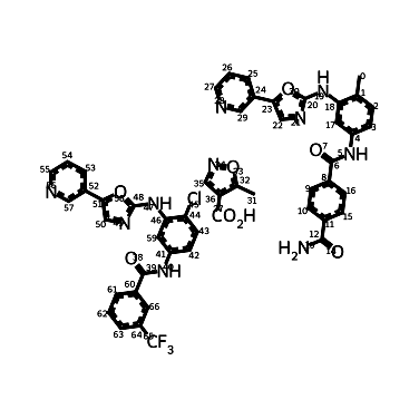 Cc1ccc(NC(=O)c2ccc(C(N)=O)cc2)cc1Nc1ncc(-c2cccnc2)o1.Cc1oncc1C(=O)O.O=C(Nc1ccc(Cl)c(Nc2ncc(-c3cccnc3)o2)c1)c1cccc(C(F)(F)F)c1